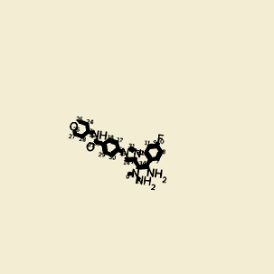 CN(N)/C(=C(\N)c1ccc(F)cc1)c1cn(-c2ccc(C(=O)NC3CCOCC3)cc2)cn1